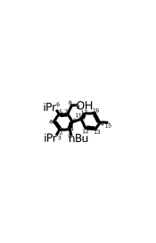 CCCCc1c(C(C)C)cc(C(C)C)c(CO)c1-c1ccc(C)cc1